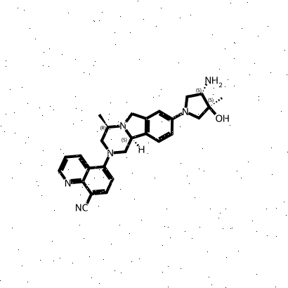 C[C@@H]1CN(c2ccc(C#N)c3ncccc23)C[C@@H]2c3ccc(N4C[C@H](N)[C@@](C)(O)C4)cc3CN12